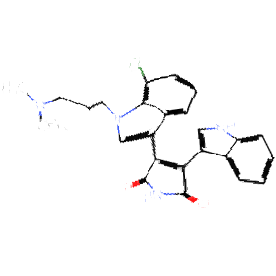 CN(C)CCCn1cc(C2=C(c3c[nH]c4ccccc34)C(=O)NC2=O)c2cccc(Cl)c21